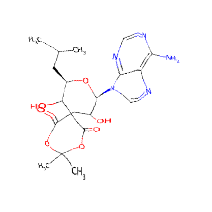 CC(C)C[C@H]1O[C@@H](n2cnc3c(N)ncnc32)C(O)C2(C(=O)OC(C)(C)OC2=O)C1O